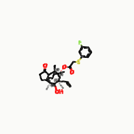 C=C[C@]1(C)C[C@@H](OC(=O)CSc2cccc(F)c2)[C@]2(C)C(C)CCC3(CCC(=O)C32)[C@@H](C)[C@@H]1O